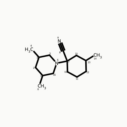 CC1CC(C)CN(C2(C#N)CCCC(C)C2)C1